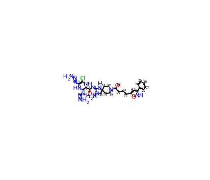 NN=NC1=C(Cl)NC(C(=O)/N=C2/NC3(CCN(C(=O)CCCC4=CC(c5ccccc5)NO4)CC3)CN2N)C(N=NN)N1